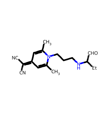 CCC(C=O)NCCCN1C(C)=CC(=C(C#N)C#N)C=C1C